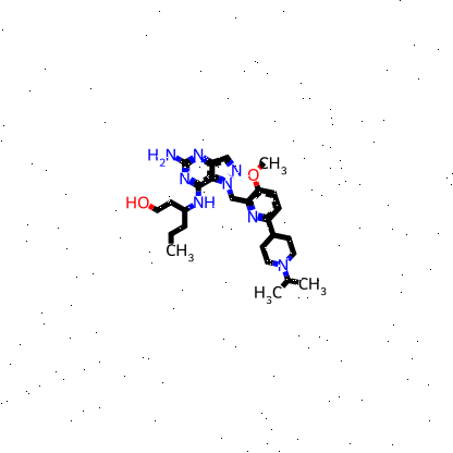 CCCC(CCO)Nc1nc(N)nc2cnn(Cc3nc(C4CCN(C(C)C)CC4)ccc3OC)c12